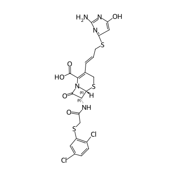 Nc1nc(O)cc(SCC=CC2=C(C(=O)O)N3C(=O)[C@@H](NC(=O)CSc4cc(Cl)ccc4Cl)[C@H]3SC2)n1